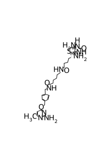 Cc1cc(OCc2ccc(CNC(=O)CCCCCNC(=O)CCCC[C@@H]3SC[C@]4(N)NC(=O)N[C@]34N)cc2)nc(N)n1